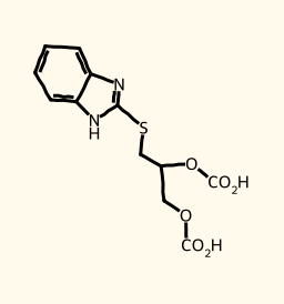 O=C(O)OCC(CSc1nc2ccccc2[nH]1)OC(=O)O